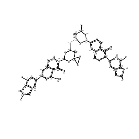 Cc1cn2cc(-n3ccc4cc(N5C[C@H](CC6CC(n7ncc8cc(-c9cc(C)c%10nc(C)cn%10n9)cc(O)c8c7=O)CC7(CC7)N6)N[C@@H](C)C5)ccc4c3=O)nc(C)c2n1